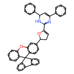 C1=C(C2=NC(c3ccccc3)=CC(c3ccccc3)N2)OC(c2ccc3c(c2)Oc2ccccc2C32c3ccccc3-c3ccccc32)C1